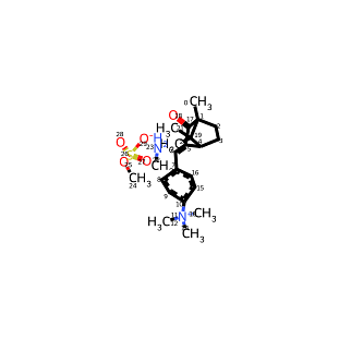 CC12CCC(C(=Cc3ccc([N+](C)(C)C)cc3)C1=O)C2(C)C.CN.COS(=O)(=O)[O-]